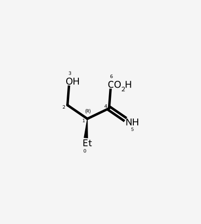 CC[C@@H](CO)C(=N)C(=O)O